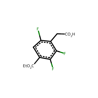 CCOC(=O)c1cc(F)c(CC(=O)O)c(F)c1F